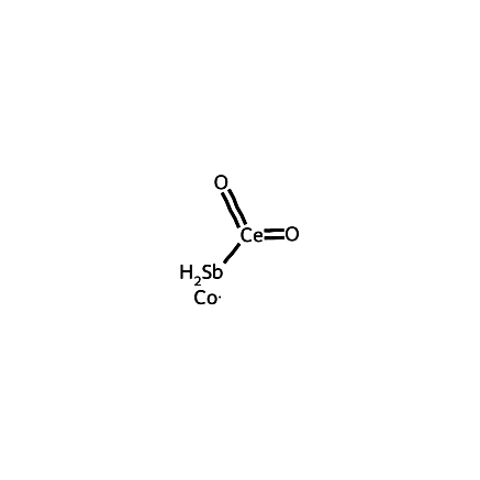 [Co].[O]=[Ce](=[O])[SbH2]